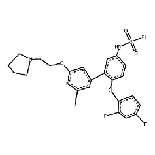 CCS(=O)(=O)Nc1ccc(Oc2ccc(F)cc2F)c(-c2cc(C)nc(OCCN3CCCC3)c2)c1